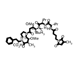 CC[C@H](C)[C@@H]([C@@H](CC(=O)N1CCC[C@H]1[C@H](OC)[C@@H](C)C(=O)N[C@@H](Cc1ccccc1)C(=O)O)OC)N(C)C(=O)[C@@H](NC(=O)[C@@H](NC(=O)CCCN1C(=O)C=C(C)C1=O)C(C)C)C(C)C